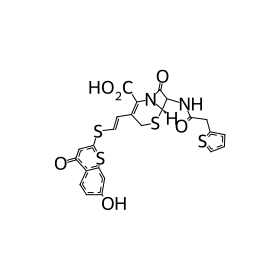 O=C(Cc1cccs1)NC1C(=O)N2C(C(=O)O)=C(C=CSc3cc(=O)c4ccc(O)cc4s3)CS[C@@H]12